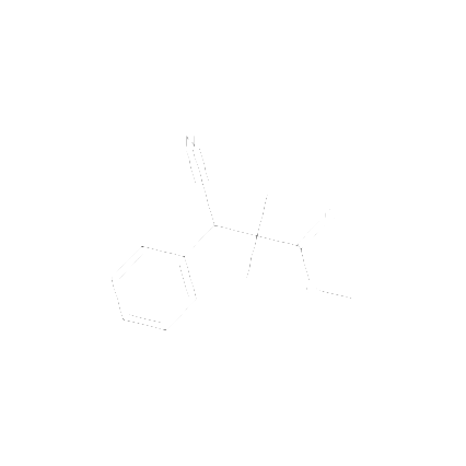 COC(=O)C(C)(C)C(C#N)c1ccccc1